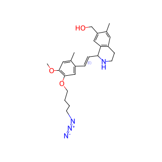 COc1cc(C)c(/C=C/C2NCCc3cc(C)c(CO)cc32)cc1OCCCCN=[N+]=[N-]